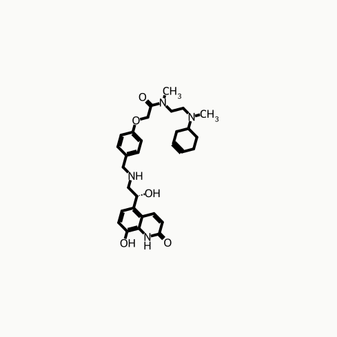 CN(CCN(C)C1CC#CCC1)C(=O)COc1ccc(CNC[C@H](O)c2ccc(O)c3[nH]c(=O)ccc23)cc1